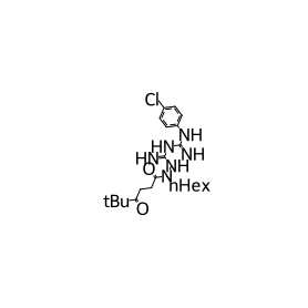 CCCCCCN(NC(=N)NC(=N)Nc1ccc(Cl)cc1)C(=O)CCC(=O)C(C)(C)C